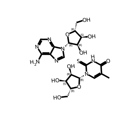 Cc1cn([C@@H]2O[C@H](CO)[C@@H](O)[C@H]2O)c(=S)[nH]c1=O.Nc1ncnc2c1ncn2[C@@H]1O[C@H](CO)[C@@H](O)[C@H]1O